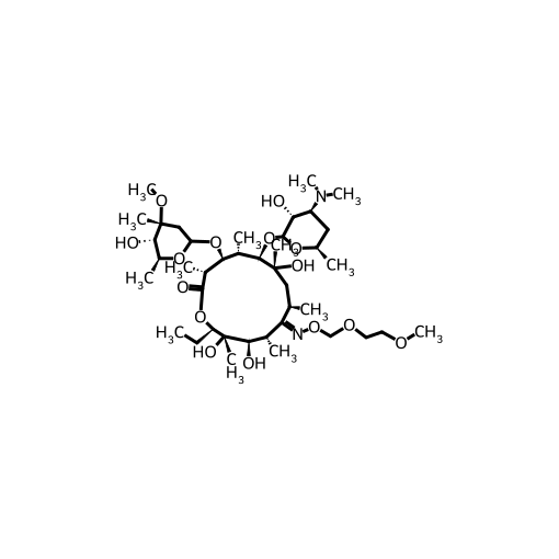 CC[C@H]1OC(=O)[C@H](C)[C@@H](OC2C[C@@](C)(OC)[C@@H](O)[C@H](C)O2)[C@H](C)[C@@H](OC2O[C@H](C)C[C@H](N(C)C)[C@H]2O)[C@](C)(O)C[C@@H](C)/C(=N\OCOCCOC)[C@H](C)[C@@H](O)[C@]1(C)O